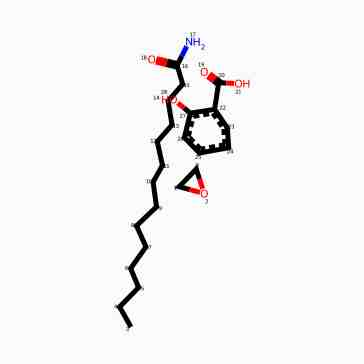 C1CO1.CCCCCCCCCCCCCC(N)=O.O=C(O)c1ccccc1O